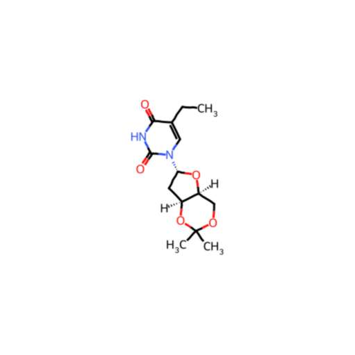 CCc1cn([C@H]2C[C@@H]3OC(C)(C)OC[C@@H]3O2)c(=O)[nH]c1=O